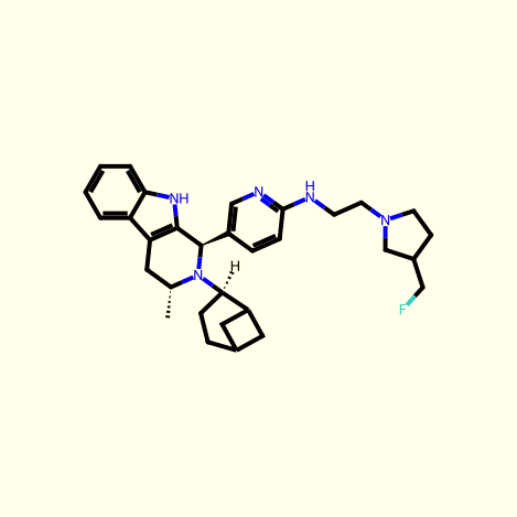 C[C@@H]1Cc2c([nH]c3ccccc23)[C@@H](c2ccc(NCCN3CCC(CF)C3)nc2)N1[C@@H]1CCC2CC1C2